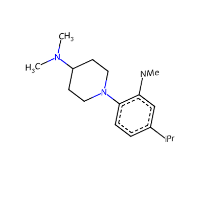 CNc1cc(C(C)C)ccc1N1CCC(N(C)C)CC1